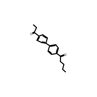 CCCCC(=O)c1ccc(-c2ccc(C(=O)CC)cc2)cc1